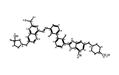 Cc1c(N=Nc2nc(C(F)F)nc3cc(CN4CCC(C)(O)C4)cnc23)cccc1-c1cccc(-c2nc3cc(CN4CCC(C(=O)O)CC4)cc(C#N)c3o2)c1C